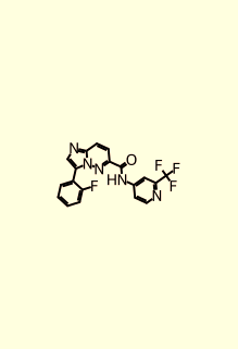 O=C(Nc1ccnc(C(F)(F)F)c1)c1ccc2ncc(-c3ccccc3F)n2n1